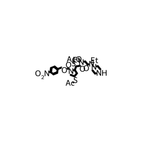 CCSC(C(=O)N(CC(=O)N(CC)N1CCNCC1)OC(C)=O)C1CC(SC(C)=O)CN1C(=O)OCc1ccc([N+](=O)[O-])cc1